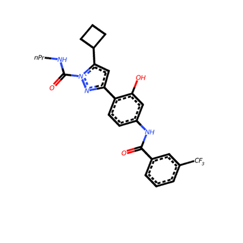 CCCNC(=O)n1nc(-c2ccc(NC(=O)c3cccc(C(F)(F)F)c3)cc2O)cc1C1CCC1